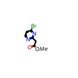 COC(=O)Cc1nccc(Br)n1